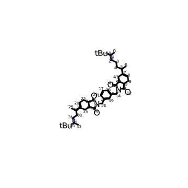 C/C(=C\CCC(C)C1=CCC2C(=O)N(Cc3cccc(CN4C(=O)C5CC=C(C(C)C/C=C(\C)C(C)(C)C)CC5C4=O)c3)C(=O)C2C1)C(C)(C)C